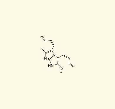 C=C/C=C\c1c(C)nc2[nH]c(C=C)c(/C=C\C=C)n12